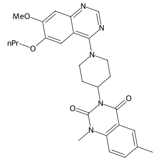 CCCOc1cc2c(N3CCC(n4c(=O)c5cc(C)ccc5n(C)c4=O)CC3)ncnc2cc1OC